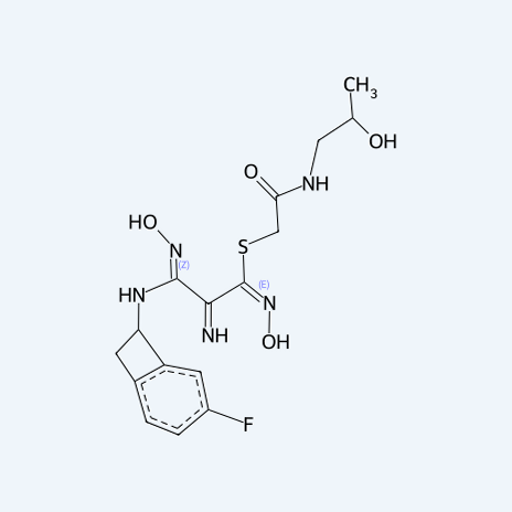 CC(O)CNC(=O)CS/C(=N/O)C(=N)/C(=N/O)NC1Cc2ccc(F)cc21